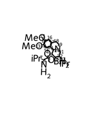 BC1(OC(=O)[C@@H](N)C(C)C)CC2c3cc(OC)c(OC)cc3CCN2CC1CC(C)C